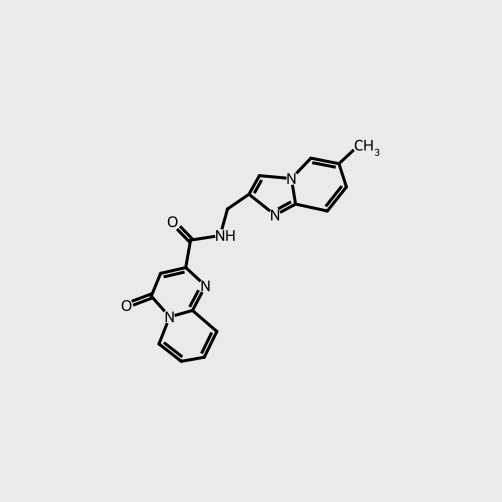 Cc1ccc2nc(CNC(=O)c3cc(=O)n4ccccc4n3)cn2c1